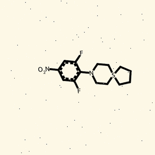 O=[N+]([O-])c1cc(F)c(N2CCS3(CCCC3)CC2)c(F)c1